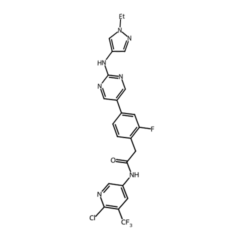 CCn1cc(Nc2ncc(-c3ccc(CC(=O)Nc4cnc(Cl)c(C(F)(F)F)c4)c(F)c3)cn2)cn1